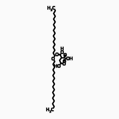 CCCCCCCCCCCCCCCCCCOCCCCCCCCCCCCCCCCCC.O=C(O)CC(C(=O)O)S(=O)(=O)O